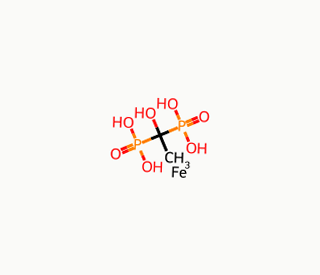 CC(O)(P(=O)(O)O)P(=O)(O)O.[Fe]